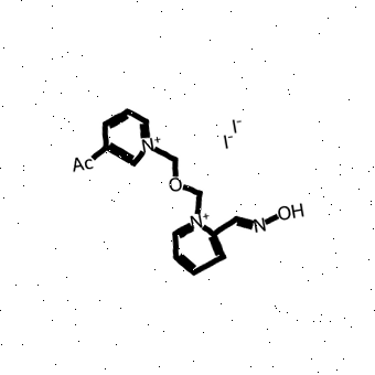 CC(=O)c1ccc[n+](COC[n+]2ccccc2C=NO)c1.[I-].[I-]